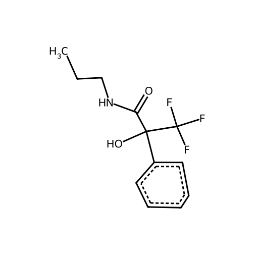 CCCNC(=O)C(O)(c1ccccc1)C(F)(F)F